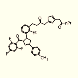 CCCC(=O)CC1=CCC(CC(=O)CCc2cccc(C3CC(c4ccc(C)cc4)=CC3C(=O)c3c(F)cc(F)cc3F)c2CC)=C1